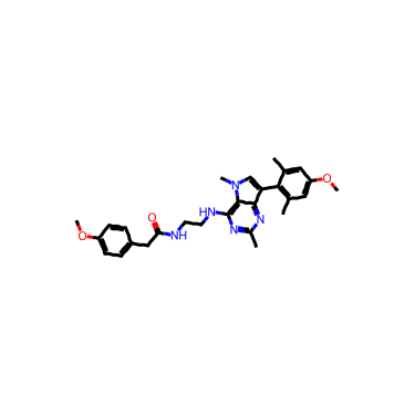 COc1ccc(CC(=O)NCCNc2nc(C)nc3c(-c4c(C)cc(OC)cc4C)cn(C)c23)cc1